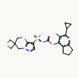 Cc1c(C2CC2)nc2c(c1NC(=O)N=S(N)(=O)c1cnn3c1OCC1(COC1)C3)CCC2